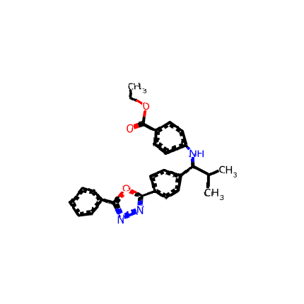 CCOC(=O)c1ccc(NC(c2ccc(-c3nnc(-c4ccccc4)o3)cc2)C(C)C)cc1